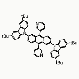 CC(C)(C)c1ccc2c(c1)c1cc(C(C)(C)C)ccc1n2-c1ccc2c(-c3cccnc3)c3cc(-n4c5ccc(C(C)(C)C)cc5c5cc(C(C)(C)C)ccc54)ccc3c(-c3cccnc3)c2c1